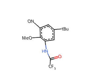 COc1c(N=O)cc(C(C)(C)C)cc1NC(=O)C(F)(F)F